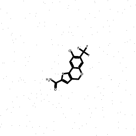 NC(=O)c1cc2c(s1)-c1cc(Cl)c(C(F)(F)F)cc1OC2